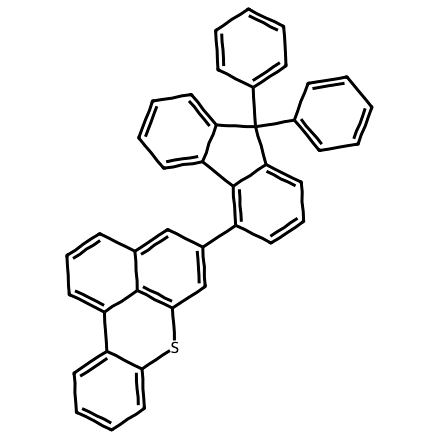 c1ccc(C2(c3ccccc3)c3ccccc3-c3c(-c4cc5c6c(cccc6c4)-c4ccccc4S5)cccc32)cc1